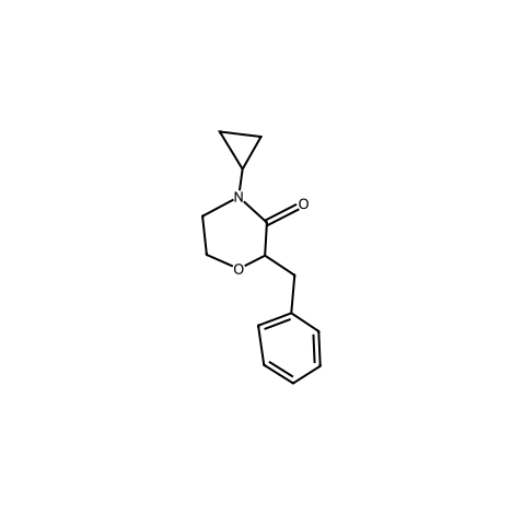 O=C1C(Cc2ccccc2)OCCN1C1CC1